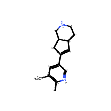 COc1cc(C2=CC3CCNCC3C2)cnc1C